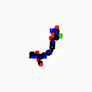 Cc1cccc(C(=O)Nc2cc3cn(C4CCN(CC5CCC6(CC5)CCN(C(=O)c5ccc(Cl)c(N7CCC(=O)NC7=O)c5)CC6)CC4)nc3cc2OC2COC2)n1